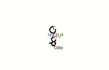 COc1cc(C)c(CC(=O)NC2(C(=O)O)CCCCCCC2)c(C)c1